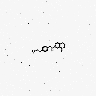 CCCc1ccc(CNc2ccc3c(c2)NCCC3)cc1